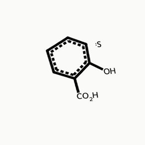 O=C(O)c1ccccc1O.[S]